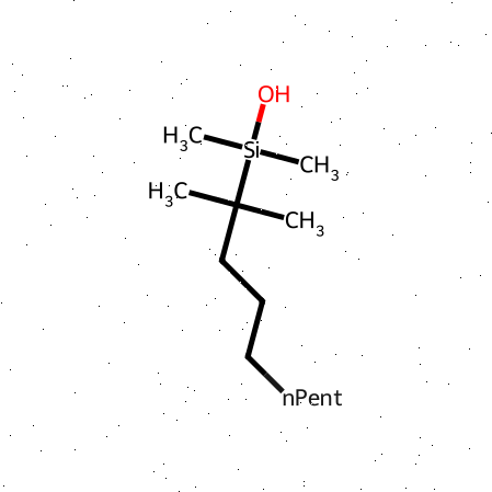 CCCCCCCCC(C)(C)[Si](C)(C)O